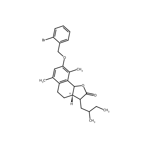 CCC(C)CC1C(=O)OC2c3c(C)c(OCc4ccccc4Br)cc(C)c3CC[C@@H]12